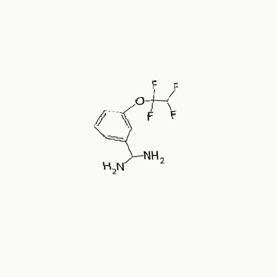 NC(N)c1cccc(OC(F)(F)C(F)F)c1